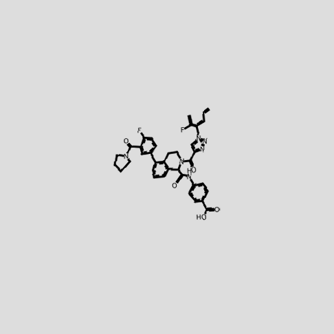 C=C/C=C(\C(=C)F)n1cc(C(=O)N2CCc3c(-c4ccc(F)c(C(=O)N5CCCC5)c4)cccc3C2C(=O)Nc2ccc(C(=O)O)cc2)nn1